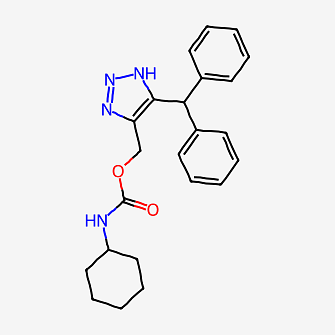 O=C(NC1CCCCC1)OCc1nn[nH]c1C(c1ccccc1)c1ccccc1